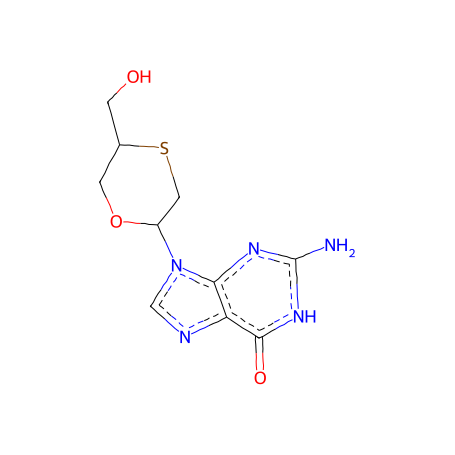 Nc1nc2c(ncn2C2CSC(CO)CO2)c(=O)[nH]1